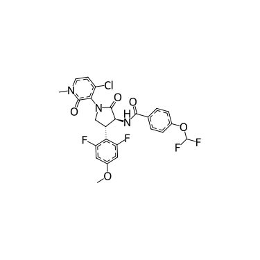 COc1cc(F)c([C@@H]2CN(c3c(Cl)ccn(C)c3=O)C(=O)[C@H]2NC(=O)c2ccc(OC(F)F)cc2)c(F)c1